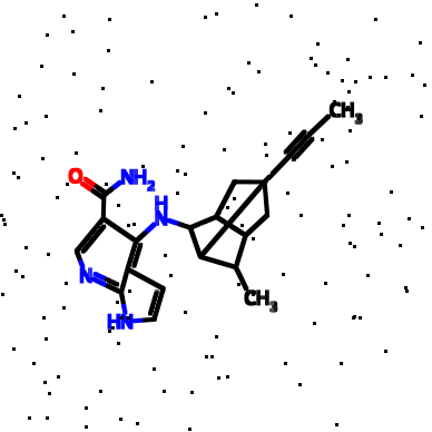 CC#CC12CC3C(C)C1C(Nc1c(C(N)=O)cnc4[nH]ccc14)C3C2